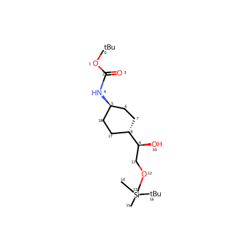 CC(C)(C)OC(=O)N[C@H]1CC[C@H]([C@@H](O)CO[Si](C)(C)C(C)(C)C)CC1